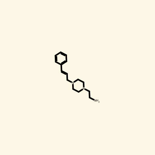 NCCN1CCN(C/C=C/c2ccccc2)CC1